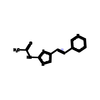 CC(=O)Nc1ncc(/C=C/c2cccnc2)s1